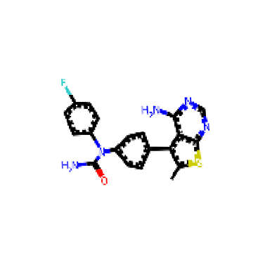 Cc1sc2ncnc(N)c2c1-c1ccc(N(C(N)=O)c2ccc(F)cc2)cc1